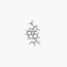 CCN(C)C(=O)c1ccc(C2(c3cccc(O)c3)CCCN(C3CC3)C2C)cc1